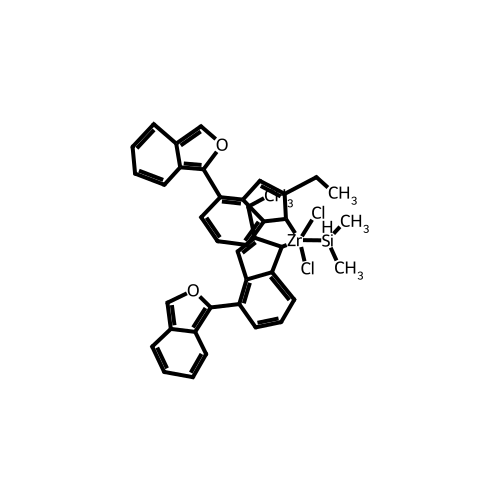 CCC1=Cc2c(-c3occ4ccccc34)cccc2[CH]1[Zr]([Cl])([Cl])([CH]1C(CC)=Cc2c(-c3occ4ccccc34)cccc21)[SiH](C)C